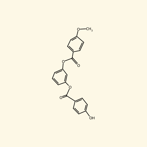 COc1ccc(C(=O)Oc2cccc(OC(=O)c3ccc(O)cc3)c2)cc1